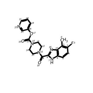 Cc1c(F)ccc2[nH]c(C(=O)N3CCN(C(=O)Oc4cccnc4)CC3)nc12